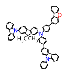 CC1(C)c2cc(N(c3ccc(-c4ccc5oc6ccccc6c5c4)cc3)c3ccc(-c4ccc5c(c4)c4ccccc4n5-c4ccccc4)cc3)ccc2-c2ccc(-n3c4ccccc4c4ccccc43)cc21